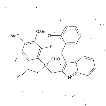 COc1ccc([N+](C=O)(CCC(C)C)Cc2nc3ccccn3c2Cc2ccccc2Cl)c(Cl)c1OC